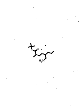 CCCC(CN)CCC(C)C(=O)OC(C)(C)C